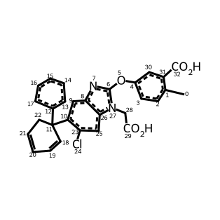 Cc1ccc(Oc2nc3cc(C4(c5ccccc5)C=CC=CC4)c(Cl)cc3n2CC(=O)O)cc1C(=O)O